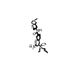 CCCN(CCC)C(=O)C1=Cc2ccc(C(=O)Nc3cnc4c(c3)CN(CC)CC4)cc2N=C(N)C1